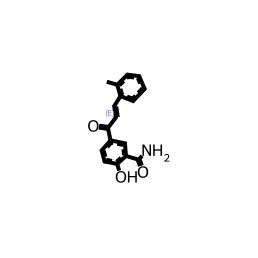 Cc1ccccc1/C=C/C(=O)c1ccc(O)c(C(N)=O)c1